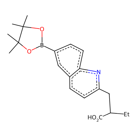 CCC(Cc1ccc2cc(B3OC(C)(C)C(C)(C)O3)ccc2n1)C(=O)O